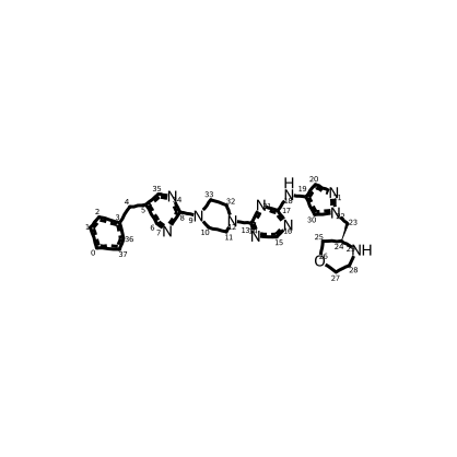 c1ccc(Cc2cnc(N3CCN(c4ncnc(Nc5cnn(C[C@@H]6COCCN6)c5)n4)CC3)nc2)cc1